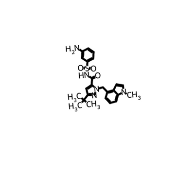 Cn1ccc2c(Cn3nc(C(C)(C)C)cc3C(=O)NS(=O)(=O)c3cccc(N)c3)cccc21